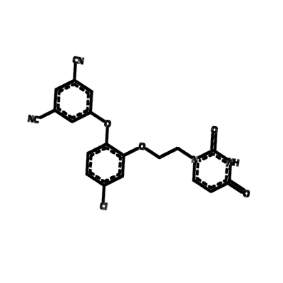 N#Cc1cc(C#N)cc(Oc2ccc(Cl)cc2OCCn2ccc(=O)[nH]c2=O)c1